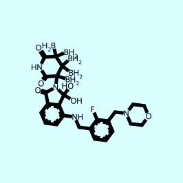 BC1(B)C(=O)NC(=O)C(B)(N2C(=O)c3cccc(NCc4cccc(CN5CCOCC5)c4F)c3C2(O)O)C1(B)B